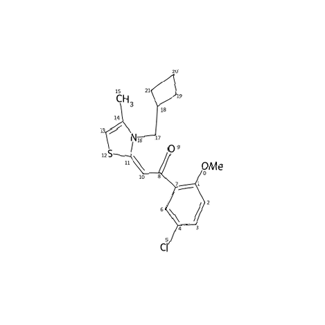 COc1ccc(Cl)cc1C(=O)C=C1SC=C(C)N1CC1CCC1